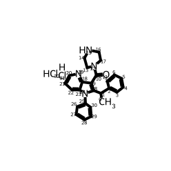 CC(c1ccccc1)c1c(C(=O)N2CCNCC2)c2ncccc2n1-c1ccccc1.Cl.Cl